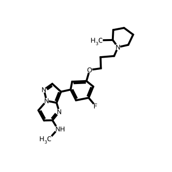 CNc1ccn2ncc(-c3cc(F)cc(OCCCN4CCCCC4C)c3)c2n1